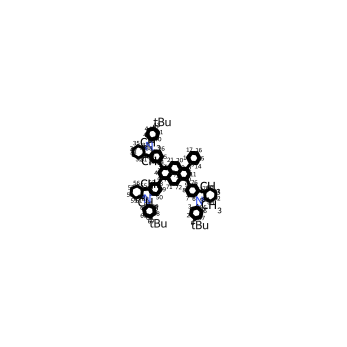 CC(C)(C)c1ccc(N2c3ccc(-c4cc(-c5ccccc5)c5ccc6c(-c7ccc8c(c7)C7(C)CCCCC7(C)N8c7ccc(C(C)(C)C)cc7)cc(-c7ccc8c(c7)C7(C)CCCCC7(C)N8c7ccc(C(C)(C)C)cc7)c7ccc4c5c67)cc3C3(C)CCCCC23C)cc1